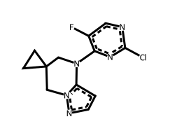 Fc1cnc(Cl)nc1N1CC2(CC2)Cn2nccc21